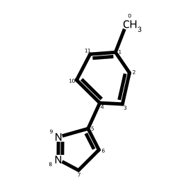 Cc1ccc(C2=CCN=N2)cc1